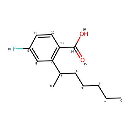 CCCCCC(C)c1cc(F)ccc1C(=O)O